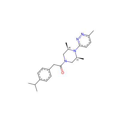 Cc1ccc(N2[C@H](C)CN(C(=O)Cc3ccc(C(C)C)cc3)C[C@@H]2C)nn1